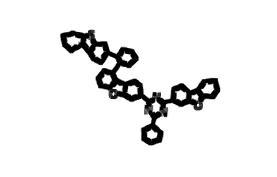 c1ccc(-c2nc(-c3ccc4c(c3)oc3ccccc34)nc(-c3ccc4c(c3)oc3cccc(-c5ccccc5-c5ccc6c(c5)sc5ccccc56)c34)n2)cc1